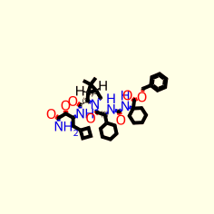 CC1(C)[C@@H]2[C@@H](C(=O)NC(CC3CCC3)C(=O)C(N)=O)N(C(=O)[C@@H](NC(=O)NC3(C(=O)OCc4ccccc4)CCCCC3)C3CCCCC3)C[C@@H]21